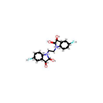 O=C1C(=O)N(CCN2C(=O)C(=O)c3cc(F)ccc32)c2ccc(F)cc21